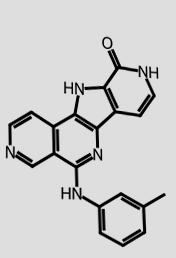 Cc1cccc(Nc2nc3c4cc[nH]c(=O)c4[nH]c3c3ccncc23)c1